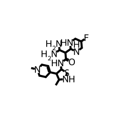 CC1NSC(NC(=O)C(C(N)N)C2NCC(F)CN2)C1C1=CCN(C)CC1